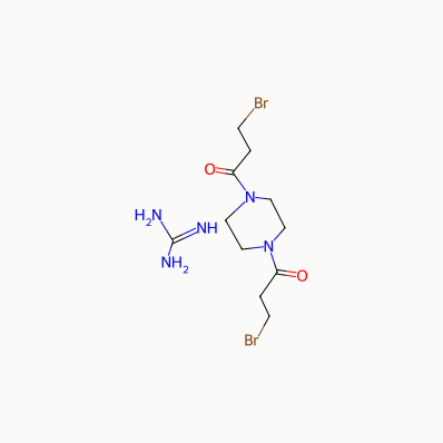 N=C(N)N.O=C(CCBr)N1CCN(C(=O)CCBr)CC1